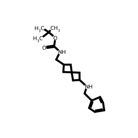 CC(C)(C)OC(=O)NCC1CC2(C1)CC(NCc1ccccc1)C2